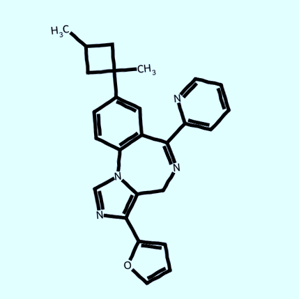 CC1CC(C)(c2ccc3c(c2)C(c2ccccn2)=NCc2c(-c4ccco4)ncn2-3)C1